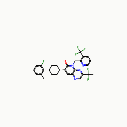 Cc1cccc(F)c1[C@H]1CC[C@H](c2cc3ncc(C(C)(F)F)nc3n(Cc3ncccc3C(F)(F)F)c2=O)CC1